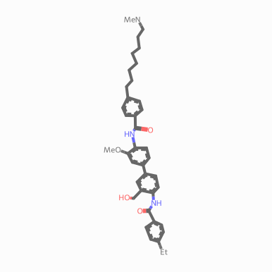 CCc1ccc(C(=O)Nc2ccc(-c3ccc(NC(=O)c4ccc(CCCCCCCCNC)cc4)c(OC)c3)cc2CO)cc1